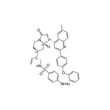 C=C[C@@H](CNS(=O)(=O)c1ccc(NC(C)=O)cc1)[C@H]1CCN2C(=O)S[C@H](c3cc(-c4ccc(Oc5ccccc5)cc4)nc4ccc(C)cc34)[C@@H]2C1